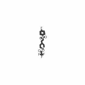 O=C(ON1CCC(CCS(=O)(=O)c2ccc(F)cc2)CC1)C(F)(F)F